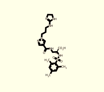 Cc1cc(C)c(S(=O)(=O)N[C@@H](CNC(=O)c2cnn(CCCNC3=NCCN3)c2)C(=O)O)c(C)c1